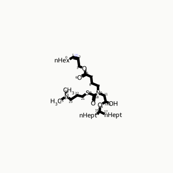 CCCCCC/C=C\COC(=O)CCCN(CC(O)OC(CCCCCCC)CCCCCCC)C(=O)SCCCN(C)C